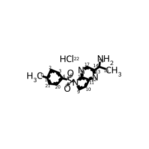 Cc1ccc(S(=O)(=O)n2ccc3nc(C(C)N)cnc32)cc1.Cl